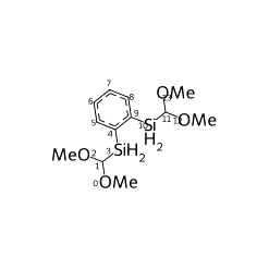 COC(OC)[SiH2]c1ccccc1[SiH2]C(OC)OC